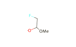 COC([O])CF